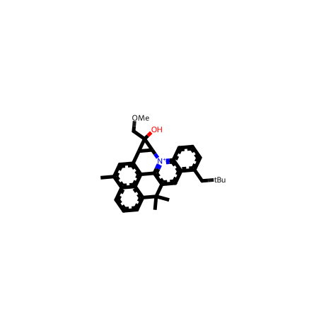 COCC1(O)C2c3cc(C)c4cccc5c4c3-c3c(cc4c(CC(C)(C)C)cccc4[n+]3C21)C5(C)C